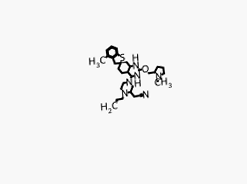 C=CCN1CCN(C2NC(OCC3CCCN3C)NC3C[C@@]4(CCC32)Cc2c(C)cccc2S4)CC1CC#N